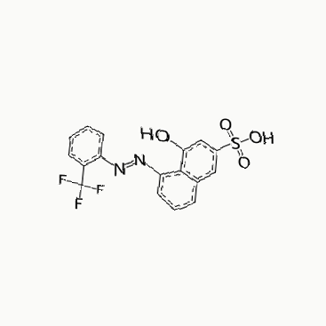 O=S(=O)(O)c1cc(O)c2c(/N=N/c3ccccc3C(F)(F)F)cccc2c1